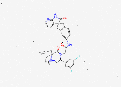 CCC1(CC)NCC(c2cc(F)cc(F)c2)N(CC(=O)Nc2ccc3c(c2)CC2(C3)C(=O)Nc3ncccc32)C1=O